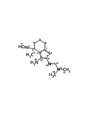 C#C[C@@]1(C)CCCc2sc(/N=C/N(C)C)c(N)c21